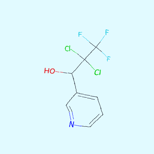 OC(c1cccnc1)C(Cl)(Cl)C(F)(F)F